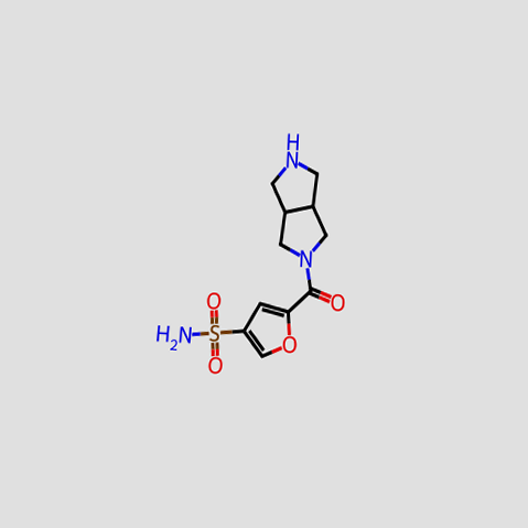 NS(=O)(=O)c1coc(C(=O)N2CC3CNCC3C2)c1